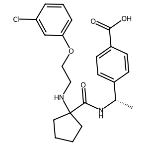 C[C@H](NC(=O)C1(NCCOc2cccc(Cl)c2)CCCC1)c1ccc(C(=O)O)cc1